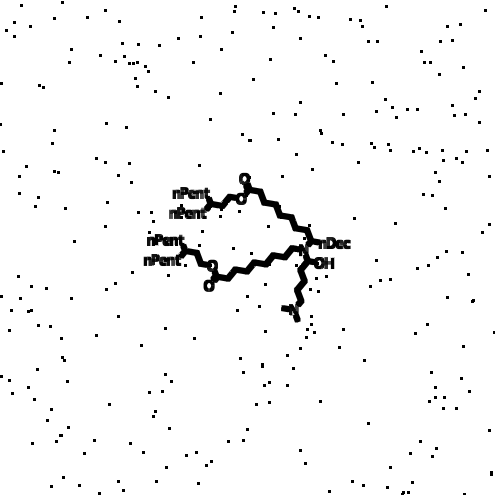 CCCCCCCCCCC(CCCCCCCC(=O)OCCC(CCCCC)CCCCC)N(CCCCCCCCC(=O)OCCC(CCCCC)CCCCC)C(O)CCCCN(C)C